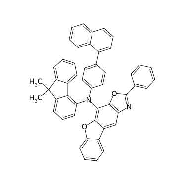 CC1(C)c2ccccc2-c2c(N(c3ccc(-c4cccc5ccccc45)cc3)c3c4oc(-c5ccccc5)nc4cc4c3oc3ccccc34)cccc21